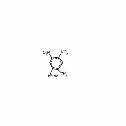 CC(=O)Nc1cc([N+](=O)[O-])c([N+](=O)[O-])cc1C